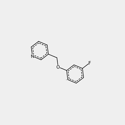 Fc1cc[c]c(OCc2cccnc2)c1